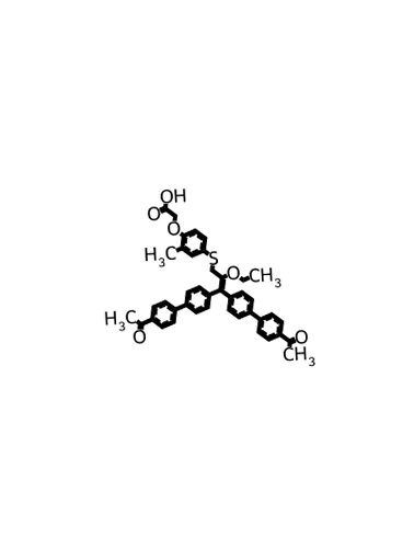 CCOC(CSc1ccc(OCC(=O)O)c(C)c1)=C(c1ccc(-c2ccc(C(C)=O)cc2)cc1)c1ccc(-c2ccc(C(C)=O)cc2)cc1